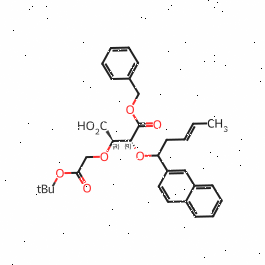 CC=CCC(O[C@@H](C(=O)OCc1ccccc1)[C@@H](OCC(=O)OC(C)(C)C)C(=O)O)c1ccc2ccccc2c1